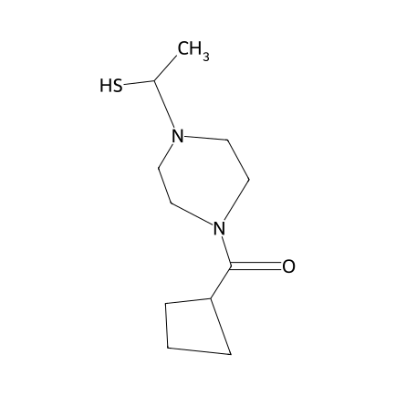 CC(S)N1CCN(C(=O)C2CCC2)CC1